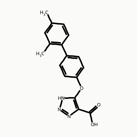 Cc1ccc(-c2ccc(Oc3[nH]nnc3C(=O)O)cc2)c(C)c1